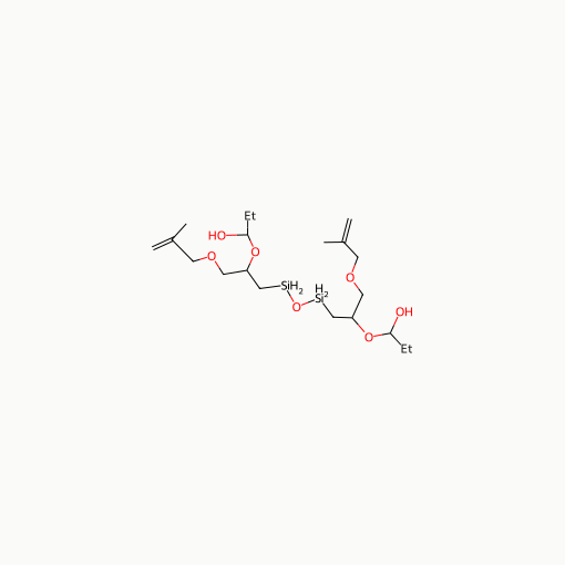 C=C(C)COCC(C[SiH2]O[SiH2]CC(COCC(=C)C)OC(O)CC)OC(O)CC